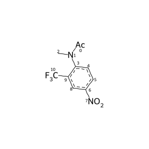 CC(=O)N(C)c1ccc([N+](=O)[O-])cc1C(F)(F)F